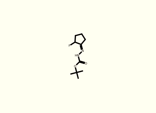 CC(C)(C)OC(=O)N/N=C1/CCCC1F